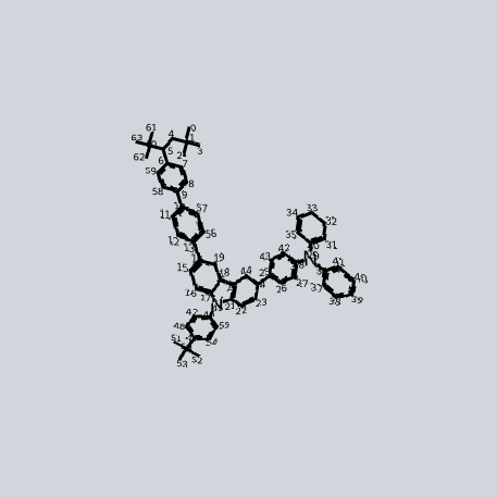 CC(C)(C)CC(c1ccc(-c2ccc(C3=CC=C4C(C3)C3=C(C=CC(c5ccc(N(C6=CCCC=C6)c6ccccc6)cc5)C3)N4c3ccc(C(C)(C)C)cc3)cc2)cc1)C(C)(C)C